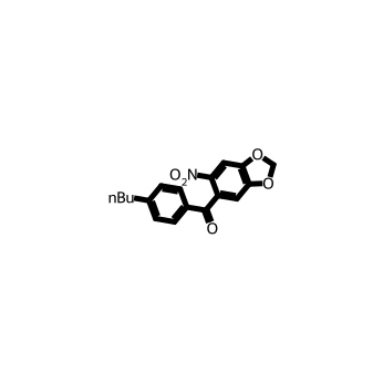 CCCCc1ccc(C(=O)c2cc3c(cc2[N+](=O)[O-])OCO3)cc1